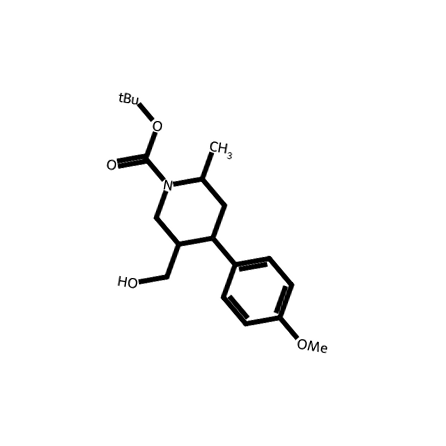 COc1ccc(C2CC(C)N(C(=O)OC(C)(C)C)CC2CO)cc1